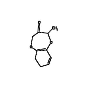 CC1OC2=C(CCC=C2)OCC1=O